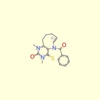 Cn1c2c(c(=S)n(C)c1=O)N(C(=O)c1ccccc1)/C=C/CCC2